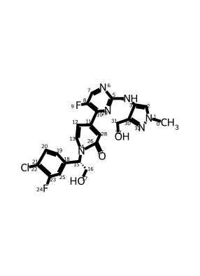 Cn1cc(Nc2ncc(F)c(-c3ccn([C@H](CO)c4ccc(Cl)c(F)c4)c(=O)c3)n2)c(CO)n1